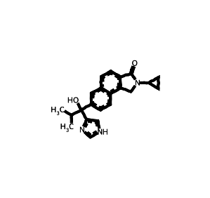 CC(C)C(O)(c1ccc2c3c(ccc2c1)C(=O)N(C1CC1)C3)c1c[nH]cn1